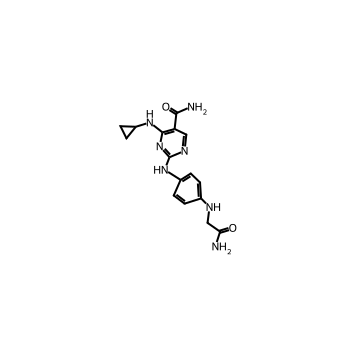 NC(=O)CNc1ccc(Nc2ncc(C(N)=O)c(NC3CC3)n2)cc1